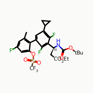 CCOC(=O)C[C@H](NC(=O)OC(C)(C)C)c1c(F)c(-c2c(C)cc(F)cc2OS(=O)(=O)C(F)(F)F)cc(C2CC2)c1F